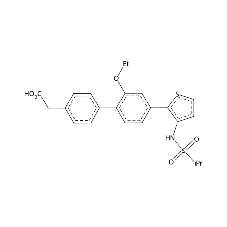 CCOc1cc(-c2sccc2NS(=O)(=O)C(C)C)ccc1-c1ccc(CC(=O)O)cc1